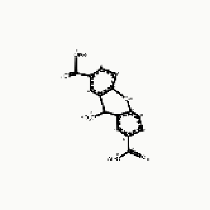 COC(=O)c1ccc2c(c1)C(C(=O)O)c1cc(C(=O)OC)ccc1O2